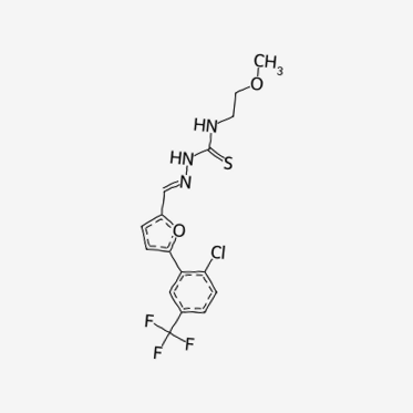 COCCNC(=S)NN=Cc1ccc(-c2cc(C(F)(F)F)ccc2Cl)o1